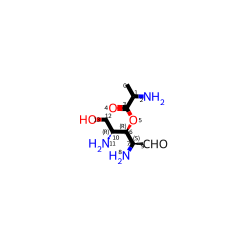 CC(N)C(=O)O[C@@H]([C@H](N)C=O)[C@H](N)CO